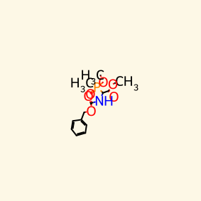 COC(=O)C(NC(=O)OCc1ccccc1)P(C)(=O)OC